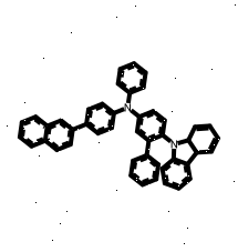 C1=CC2c3ccccc3N(c3ccc(N(c4ccccc4)c4ccc(-c5ccc6ccccc6c5)cc4)cc3-c3ccccc3)C2C=C1